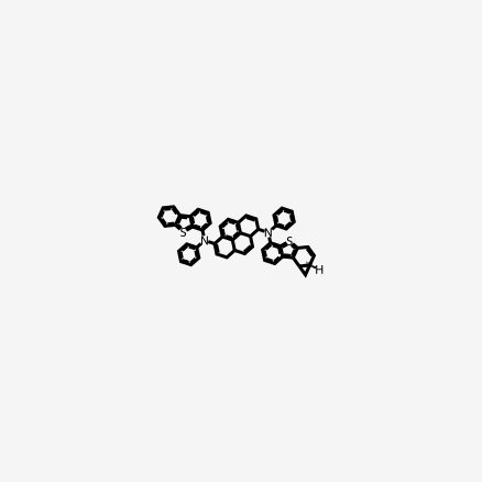 C1=CC(N(c2ccccc2)c2cccc3c4c(sc23)C=C[C@@H]2CC42)C2C=CC3CC=C(N(c4ccccc4)c4cccc5c4sc4ccccc45)c4ccc1c2c43